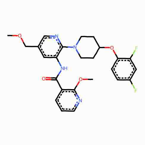 COCc1cnc(N2CCC(Oc3ccc(F)cc3F)CC2)c(NC(=O)c2cccnc2OC)c1